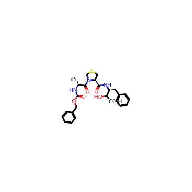 CC(C)[C@H](NC(=O)OCc1ccccc1)C(=O)N1CSC[C@H]1C(=O)N[C@@H](Cc1ccccc1)C(O)C(=O)O